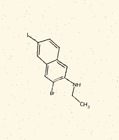 CCNc1cc2ccc(I)cc2cc1Br